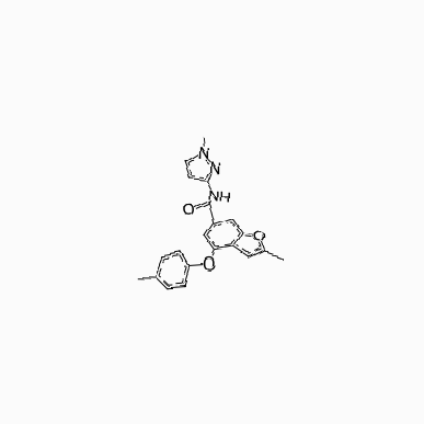 Cc1ccc(Oc2cc(C(=O)Nc3ccn(C)n3)cc3oc(C)cc23)cc1